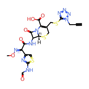 C#CCn1nnnc1SCC1=C(C(=O)O)N2C(=O)C(NC(=O)/C(=N/OC)c3csc(NC=O)n3)[C@H]2SC1